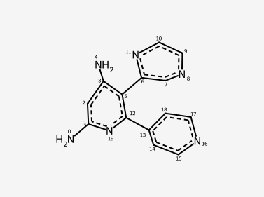 Nc1cc(N)c(-c2cnccn2)c(-c2ccncc2)n1